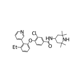 CCc1cccc(Oc2ccc(C(=O)NC3CC(C)(C)NC(C)(C)C3)cc2Cl)c1-c1cccnc1